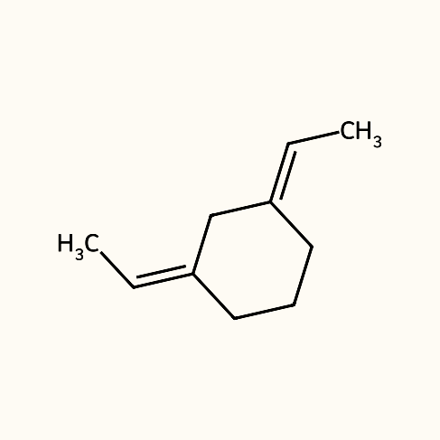 CC=C1CCCC(=CC)C1